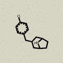 Clc1ccc(CC2CC3CCC(C2)N3)cc1